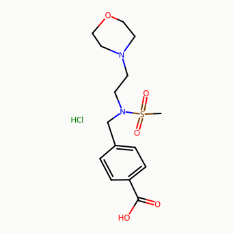 CS(=O)(=O)N(CCN1CCOCC1)Cc1ccc(C(=O)O)cc1.Cl